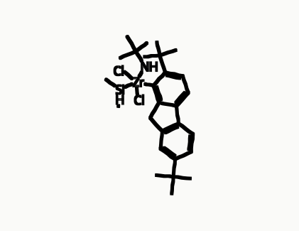 C[SiH](C)[Zr]([Cl])([Cl])([NH]C(C)(C)C)[c]1c(C(C)(C)C)ccc2c1Cc1cc(C(C)(C)C)ccc1-2